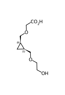 O=C(O)COC[C@@H]1C[C@@H]1COCCO